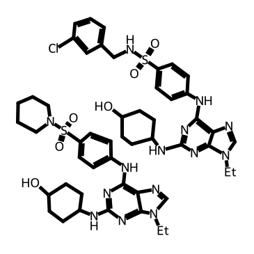 CCn1cnc2c(Nc3ccc(S(=O)(=O)N4CCCCC4)cc3)nc(NC3CCC(O)CC3)nc21.CCn1cnc2c(Nc3ccc(S(=O)(=O)NCc4cccc(Cl)c4)cc3)nc(NC3CCC(O)CC3)nc21